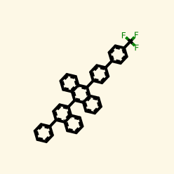 FC(F)(F)c1ccc(-c2ccc(-c3c4ccccc4c(-c4ccc(-c5ccccc5)c5ccccc45)c4ccccc34)cc2)cc1